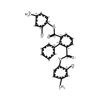 Cc1ccc(OC(=O)c2cccc(C(=O)Oc3ccc(C)cc3Cl)c2-c2ccccc2)c(Cl)c1